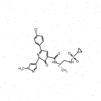 C[C@@H](CNS(=O)(=O)C1CC1)NC(=O)c1cc(-c2ccc(Cl)cc2)nn(-c2cnn(C)c2)c1=O